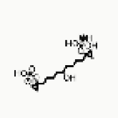 O=P(O)(O)OC1(CCCCC(O)CCCCC2(O[PH](O)(O)O)CC2)CC1